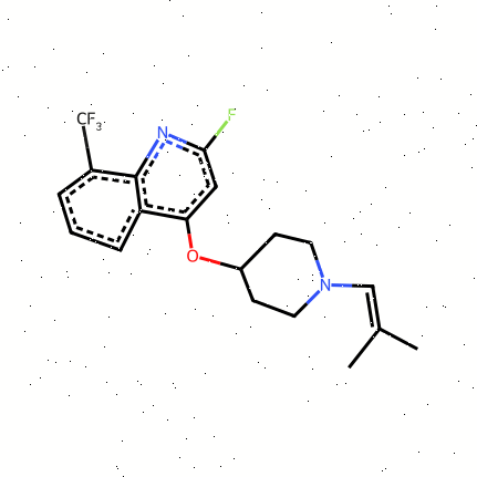 CC(C)=CN1CCC(Oc2cc(F)nc3c(C(F)(F)F)cccc23)CC1